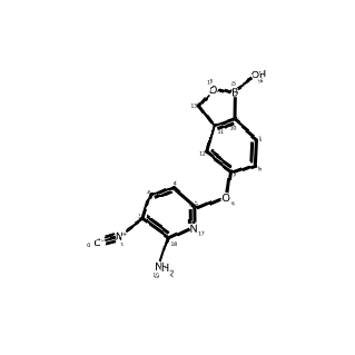 [C-]#[N+]c1ccc(Oc2ccc3c(c2)COB3O)nc1N